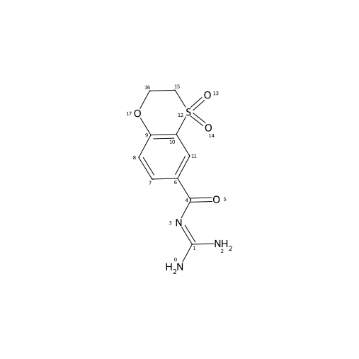 NC(N)=NC(=O)c1ccc2c(c1)S(=O)(=O)CCO2